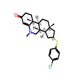 CN1C[C@H]2[C@@H]3C[C@H](Sc4ccc(Cl)cc4)C[C@@]3(C)CC[C@@H]2[C@@]2(C)CCC(=O)C=C12